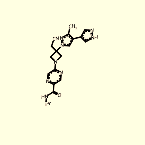 Cc1nn(C2(CC#N)CN(c3cnc(C(=O)NC(C)C)cn3)C2)cc1-c1cn[nH]c1